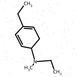 CCC1=CCC(N(C)CC)C=C1